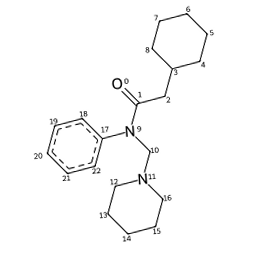 O=C(CC1CCCCC1)N(CN1CCCCC1)c1ccccc1